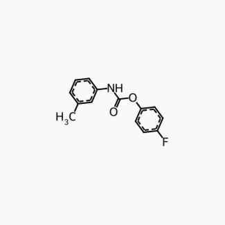 Cc1cccc(NC(=O)Oc2ccc(F)cc2)c1